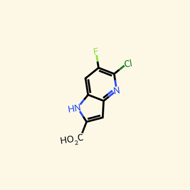 O=C(O)c1cc2nc(Cl)c(F)cc2[nH]1